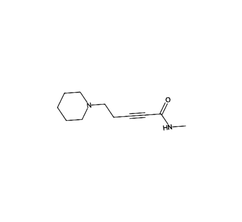 CNC(=O)C#CCCN1CCCCC1